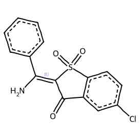 N/C(=C1\C(=O)c2cc(Cl)ccc2S1(=O)=O)c1ccccc1